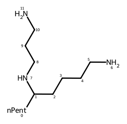 CCCCCC(CCCCN)NCCCN